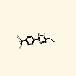 CSc1nnc(-c2ccc([N+](=O)[O-])cc2)nn1